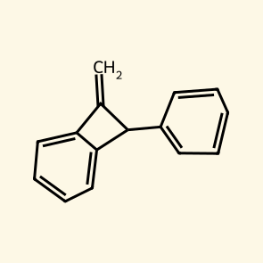 C=C1c2ccccc2C1c1ccccc1